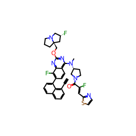 C#Cc1cccc2cccc(-c3ccc4c(N(C)[C@@H]5CCN(C(=O)/C(F)=C/c6nccs6)C5)nc(OC[C@@]56CCCN5C[C@H](F)C6)nc4c3F)c12